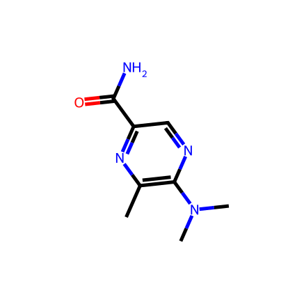 Cc1nc(C(N)=O)cnc1N(C)C